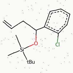 C=CCC(O[Si](C)(C)C(C)(C)C)c1ccccc1Cl